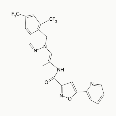 C=NN(/C=C(\C)NC(=O)c1cc(-c2ccccn2)on1)Cc1ccc(C(F)(F)F)cc1C(F)(F)F